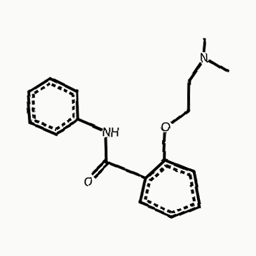 CN(C)CCOc1ccccc1C(=O)Nc1ccccc1